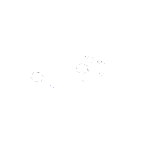 COc1cc2c(c(OC)c1OC)C(=O)C(CC1CCN(Cc3ccccc3)CC1)C2